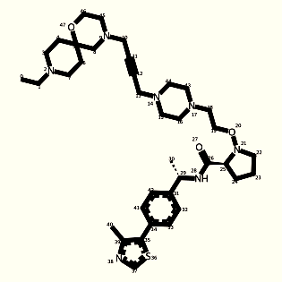 CCN1CCC2(CC1)CN(CC#CCN1CCN(CCON3CCC[C@H]3C(=O)N[C@@H](C)c3ccc(-c4scnc4C)cc3)CC1)CCO2